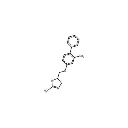 Cc1cc(OCC2CN=C(N)O2)ccc1-c1ccccc1